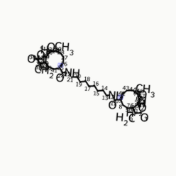 C=C1C(=O)O[C@H]2[C@H]1CC/C(C(=O)NCCCCCCCCCNC(=O)/C1=C/CC[C@@]3(C)O[C@H]3[C@H]3OC(=O)C(=C)[C@@H]3CC1)=C\CC[C@@]1(C)O[C@@H]21